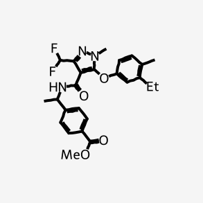 CCc1cc(Oc2c(C(=O)NC(C)c3ccc(C(=O)OC)cc3)c(C(F)F)nn2C)ccc1C